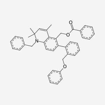 CC1=CC(C)(C)N(Cc2ccccc2)c2ccc(-c3ccccc3COc3ccccc3)c(COC(=O)c3ccccc3)c21